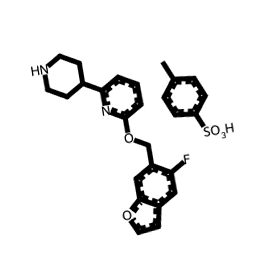 Cc1ccc(S(=O)(=O)O)cc1.Fc1cc2ccoc2cc1COc1cccc(C2CCNCC2)n1